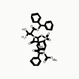 C/C(O)=C(/C(=O)OC(c1ccccc1)c1ccccc1)N1C(=O)C(NC(=O)C(NC(=O)OC(C)(C)C)c2ccccc2)C1SS(=O)(=O)c1ccc(C)cc1